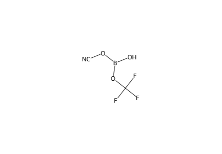 N#COB(O)OC(F)(F)F